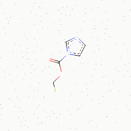 O=C(OCF)n1ccnc1